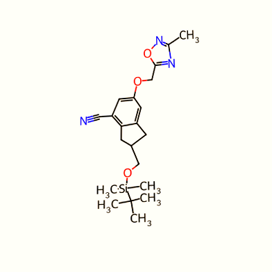 Cc1noc(COc2cc(C#N)c3c(c2)CC(CO[Si](C)(C)C(C)(C)C)C3)n1